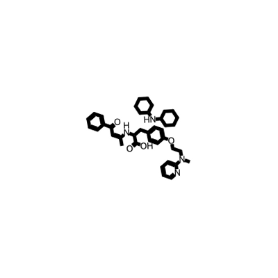 C1CCC(NC2CCCCC2)CC1.CC(=CC(=O)c1ccccc1)NC(Cc1ccc(OCCN(C)c2ccccn2)cc1)C(=O)O